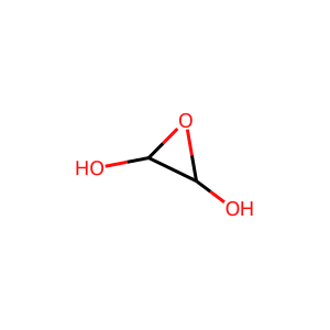 OC1OC1O